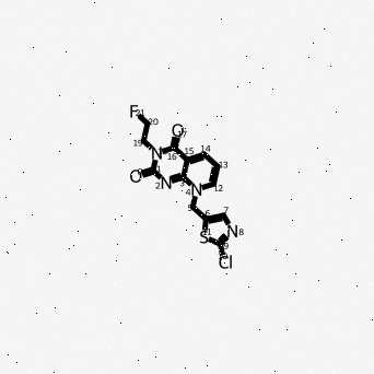 O=c1nc2n(Cc3cnc(Cl)s3)cccc-2c(=O)n1CCF